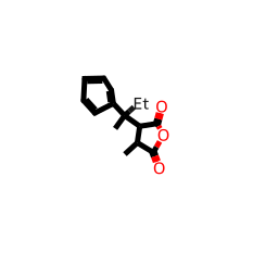 CCC(C)(c1ccccc1)C1C(=O)OC(=O)C1C